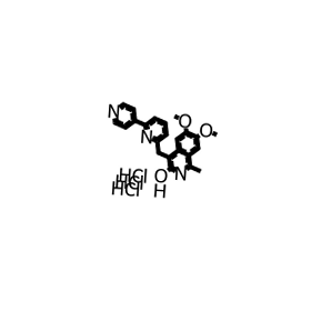 COc1cc2c(C)nc(O)c(Cc3cccc(-c4ccncc4)n3)c2cc1OC.Cl.Cl.Cl